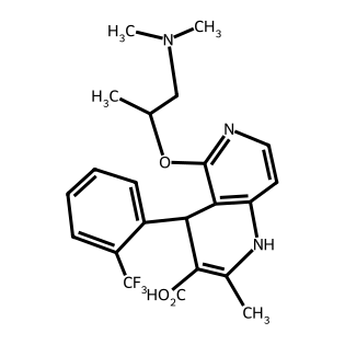 CC1=C(C(=O)O)C(c2ccccc2C(F)(F)F)c2c(ccnc2OC(C)CN(C)C)N1